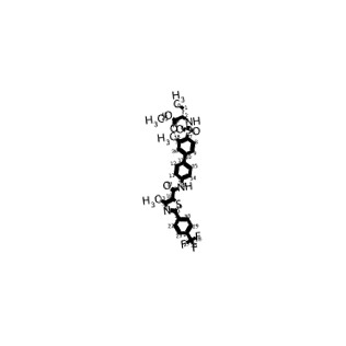 CC[C@H](NS(=O)(=O)c1ccc(-c2ccc(NC(=O)c3sc(-c4ccc(C(F)(F)F)cc4)nc3C)cc2)cc1C)C(=O)OC